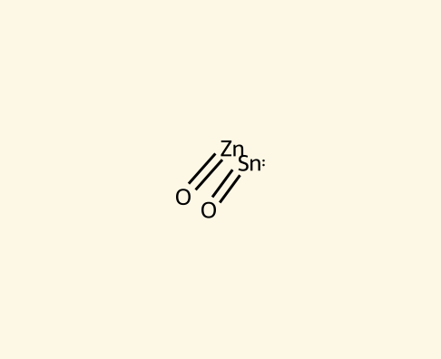 [O]=[Sn].[O]=[Zn]